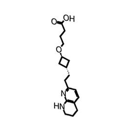 O=C(O)CCCO[C@H]1C[C@H](CCc2ccc3c(n2)NCCC3)C1